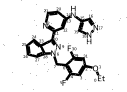 CCOc1cc(F)c(Cn2nc(-c3cc(Nc4cn[nH]c4)ccn3)c3ccccc32)c(F)c1